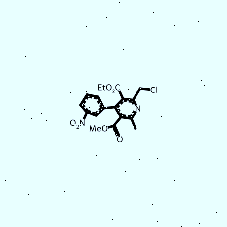 CCOC(=O)c1c(CCl)nc(C)c(C(=O)OC)c1-c1cccc([N+](=O)[O-])c1